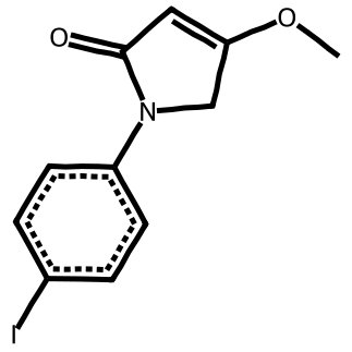 COC1=CC(=O)N(c2ccc(I)cc2)C1